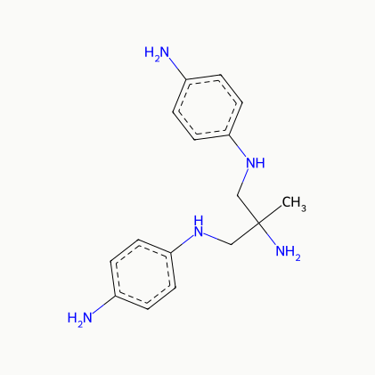 CC(N)(CNc1ccc(N)cc1)CNc1ccc(N)cc1